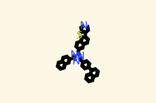 c1ccc2cc(-c3nc(-c4ccc(-c5cccc6ccccc56)cc4)nc(-c4ccc5c(ccc6c7ccncc7sc56)c4)n3)ccc2c1